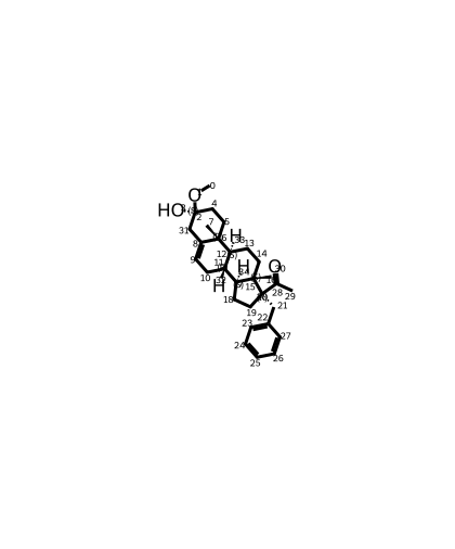 CO[C@@]1(O)CC[C@@]2(C)C(=CC[C@@H]3[C@@H]2CC[C@@]2(C)[C@H]3CC[C@]2(Cc2ccccc2)C(C)=O)C1